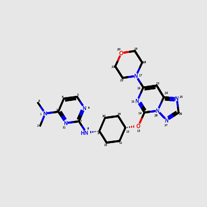 CN(C)c1ccnc(N[C@H]2CC[C@@H](Oc3nc(N4CCOCC4)cc4ncnn34)CC2)n1